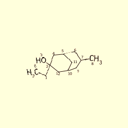 CCC1(O)CC2CC(C)CC(C2)C1